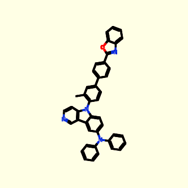 Cc1cc(-c2ccc(-c3nc4ccccc4o3)cc2)ccc1-n1c2ccncc2c2cc(N(c3ccccc3)c3ccccc3)ccc21